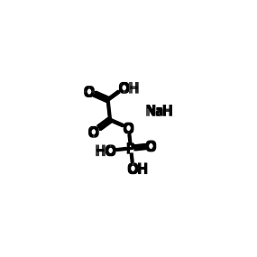 O=C(O)C(=O)OP(=O)(O)O.[NaH]